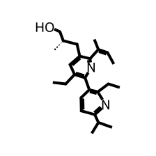 C/C=C(/C)c1nc(-c2ccc(C(C)C)nc2CC)c(CC)cc1C[C@H](C)CO